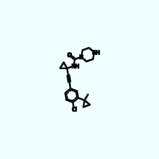 CC1(c2cc(C#CC3(NC(=O)N4CCNCC4)CC3)ccc2Cl)CC1